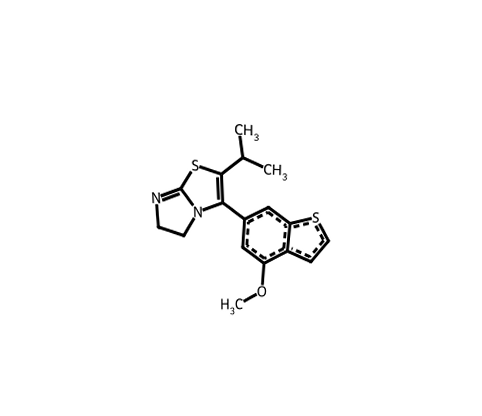 COc1cc(C2=C(C(C)C)SC3=NCCN32)cc2sccc12